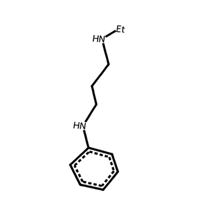 CCNCCCNc1ccccc1